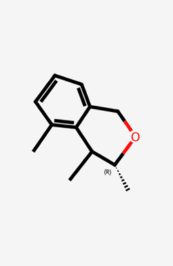 Cc1cccc2c1C(C)[C@@H](C)OC2